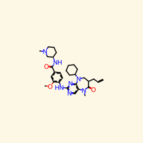 C=CCC1CN(C2CCCCC2)c2nc(Nc3ccc(C(=O)N[C@@H]4CCCN(C)C4)cc3OC)ncc2N(C)C1=O